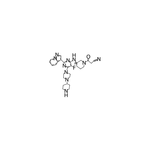 N#CCC(=O)N1CCC[C@@H](Nc2nc(-c3cnn4ccccc34)nc(N3CCN(C4CCNCC4)CC3)c2F)C1